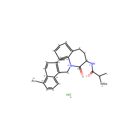 CNC(C)C(=O)NC1CCc2ccccc2N(Cc2c(OC)ccc3c(C(C)=O)cccc23)C1=O.Cl